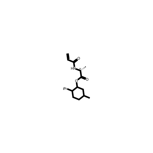 C=CC(=O)N[C@H](C)C(=O)OC1CC(C)CCC1C(C)C